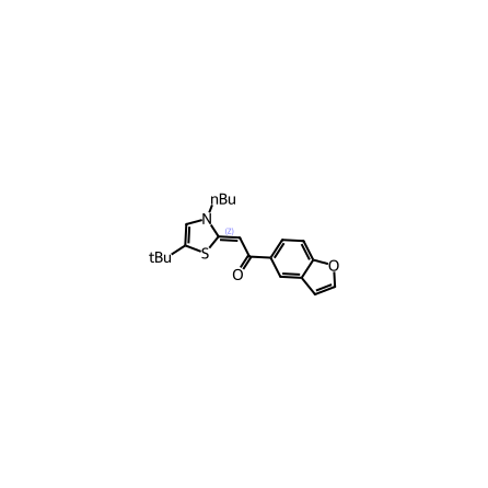 CCCCN1C=C(C(C)(C)C)S/C1=C\C(=O)c1ccc2occc2c1